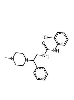 CN1CCN(C(CNC(=O)Nc2ccccc2Cl)c2ccccc2)CC1